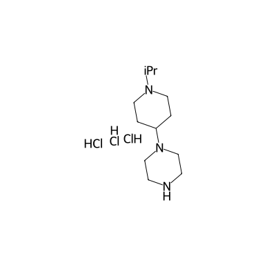 CC(C)N1CCC(N2CCNCC2)CC1.Cl.Cl.Cl